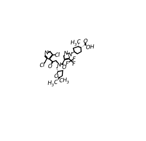 C[C@H]1C[C@H](n2ncc(C(=O)N(CC(=O)c3c(Cl)cncc3Cl)C[C@@H]3CCC(C)(C)O3)c2C(F)(F)F)CC[C@H]1C(=O)O